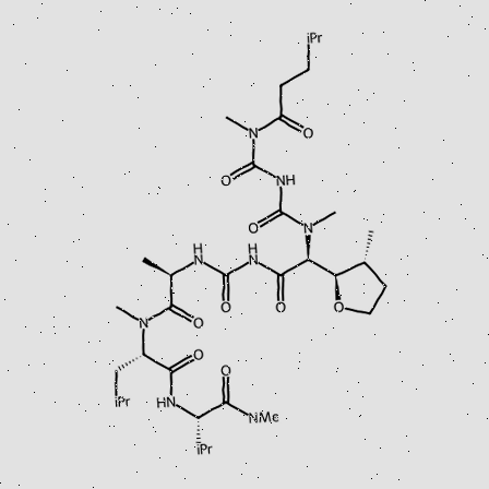 CNC(=O)[C@@H](NC(=O)[C@H](CC(C)C)N(C)C(=O)[C@@H](C)NC(=O)NC(=O)[C@H]([C@@H]1OCC[C@H]1C)N(C)C(=O)NC(=O)N(C)C(=O)CCC(C)C)C(C)C